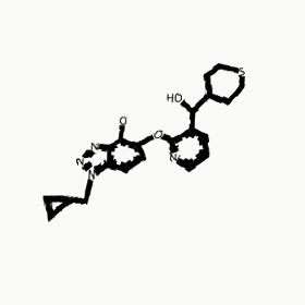 OC(c1cccnc1Oc1ccc2c(nnn2CC2CC2)c1Cl)C1CCSCC1